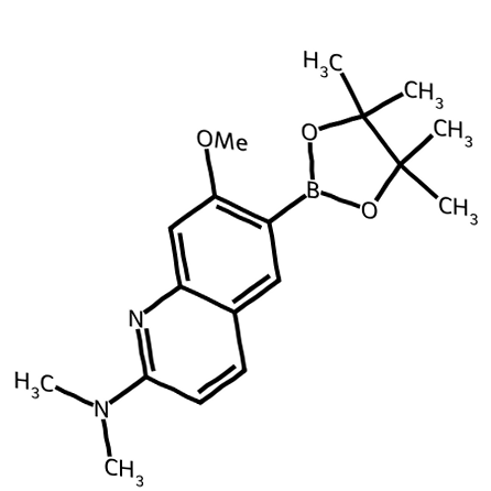 COc1cc2nc(N(C)C)ccc2cc1B1OC(C)(C)C(C)(C)O1